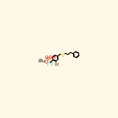 CCC(C)OP(=O)(O)C(F)(F)c1ccc(CSCCCc2ccccc2)cc1Br